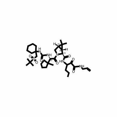 C=CCNC(=O)C(=O)C(CCC)NC(=O)[C@@H]1[C@@H]2[C@H](CN1C(=O)[C@@H](NC(=O)NC1(CS(=O)(=O)C(C)(C)C)CCCCC1)C1(C)CCCC1)C2(C)C